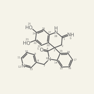 N=C1CC2(C(=O)N(Cc3cccnc3)c3ccccc32)c2cc(O)c(O)cc2N1